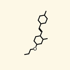 CCCOC1CCC(C=CC2CCC(C)CC2)C(C)C1